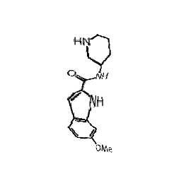 COc1ccc2cc(C(=O)N[C@@H]3CCCNC3)[nH]c2c1